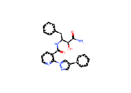 NC(=O)C(O)C(Cc1ccccc1)NC(=O)c1cccnc1-n1cc(-c2ccccc2)cn1